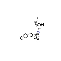 C#CC[C@H](C)C[C@H](O)C[C@H](C)/C=C/[C@@H](C)[C@H](COCc1ccc(OC)cc1)O[Si](CC)(CC)CC